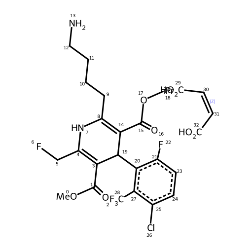 COC(=O)C1=C(CF)NC(CCCCN)=C(C(=O)OC(C)C)C1c1c(F)ccc(Cl)c1C(F)(F)F.O=C(O)/C=C\C(=O)O